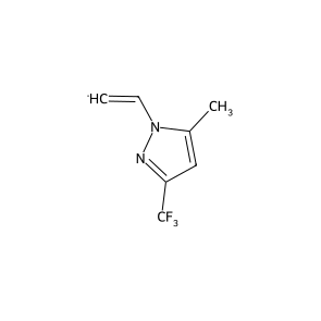 [CH]=Cn1nc(C(F)(F)F)cc1C